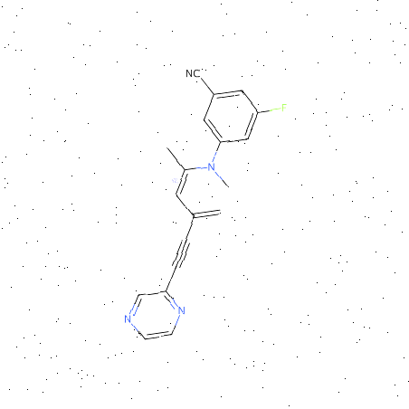 C=C(C#Cc1cnccn1)/C=C(/C)N(C)c1cc(F)cc(C#N)c1